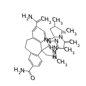 C=C(N)c1ccc2c(c1)CCc1cc(C(N)=O)ccc1C2(C[C@H](C)NCC(=C)N1C(C#N)CC(C)[C@@H]1C)c1nnc(C)[nH]1